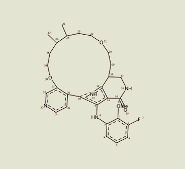 COc1c(F)cccc1Nc1c2[nH]c3c1C(=O)NCC3CCOCCC(C)C(C)CCOc1cnccc1-2